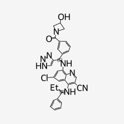 CC[C@@H](Nc1c(C#N)cnc2c(N[C@@H](c3cccc(C(=O)N4CC(O)C4)c3)c3c[nH]nn3)cc(Cl)cc12)c1ccccc1